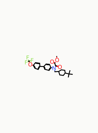 COC(=O)C(=O)N(CC1CCC(C(C)(C)C)CC1)c1ccc(-c2ccc(OC(F)(F)F)cc2)cc1